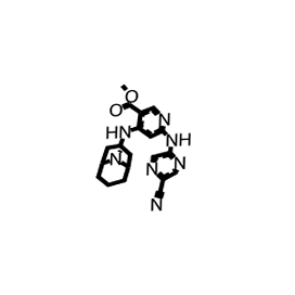 COC(=O)c1cnc(Nc2cnc(C#N)cn2)cc1NC1CC2CCCC(C1)N2C